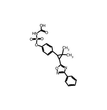 CC1(C)C(c2ccc(OS(=O)(=O)NC(=O)O)cc2)C1c1nc(-c2ccccc2)no1